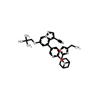 CCc1csc(CN2C3CC2CN(c2ccc(-c4cc(OCC(C)(C)O)cn5ncc(C#N)c45)cn2)C3)n1